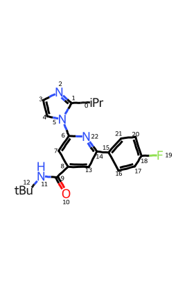 CC(C)c1nccn1-c1cc(C(=O)NC(C)(C)C)cc(-c2ccc(F)cc2)n1